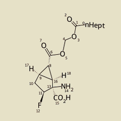 CCCCCCCC(=O)OCOC(=O)[C@H]1[C@@H]2C[C@H](F)[C@@](N)(C(=O)O)[C@@H]21